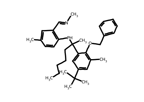 CCCCCC(C)(Pc1ccc(C)cc1/C=N/C)c1cc(C(C)(C)C)cc(C)c1OCc1ccccc1